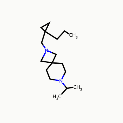 CCCC1(CN2CC3(CCN(C(C)C)CC3)C2)CC1